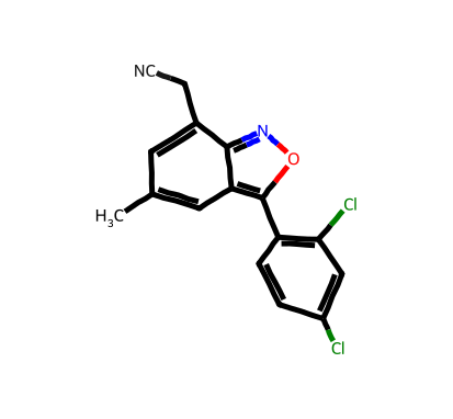 Cc1cc(CC#N)c2noc(-c3ccc(Cl)cc3Cl)c2c1